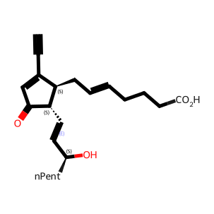 C#CC1=CC(=O)[C@@H](/C=C/[C@@H](O)CCCCC)[C@@H]1CC=CCCCC(=O)O